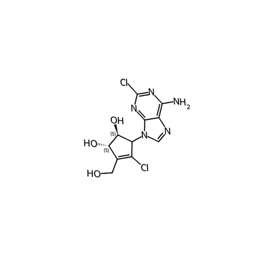 Nc1nc(Cl)nc2c1ncn2C1C(Cl)=C(CO)[C@H](O)[C@H]1O